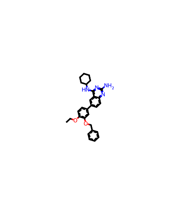 CCOc1ccc(-c2ccc3nc(N)nc(NC4CCCCC4)c3c2)cc1OCc1ccccc1